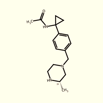 CC(=O)NC1(c2ccc(CN3CCN[C@@H](C)C3)cc2)CC1